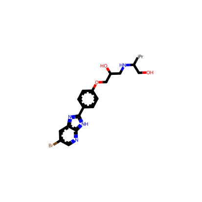 CC(C)C(CO)NCC(O)COc1ccc(-c2nc3cc(Br)cnc3[nH]2)cc1